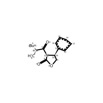 CC[C@@H](C)[C@@H](C)C(=O)N1C(=O)OC[C@@H]1c1ccccc1